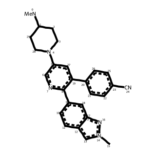 CNC1CCN(c2cnc(-c3ccc4cn(C)nc4c3)c(-c3ccc(C#N)cc3)c2)CC1